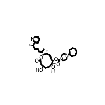 C/C(=C\C=C\[C@@H](C)c1ccccn1)[C@H]1OC(=O)C[C@H](O)CC[C@@](C)(O)[C@H](OC(=O)N2CCN(C3CCCCCC3)CC2)/C=C/[C@@H]1C